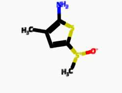 Cc1cc([S+](C)[O-])sc1N